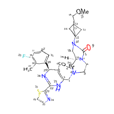 CCOC(=O)C1=C(CN2CCN3C(=O)N(C45CC(COC)(C4)C5)C[C@@H]3C2)NC(c2nccs2)=N[C@H]1c1cccc(F)c1C